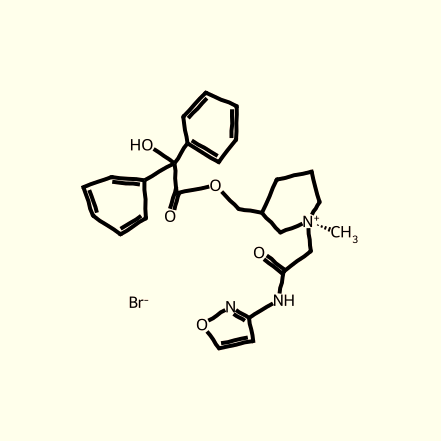 C[N@@+]1(CC(=O)Nc2ccon2)CCCC(COC(=O)C(O)(c2ccccc2)c2ccccc2)C1.[Br-]